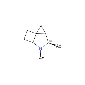 CC(=O)[C@@H]1C2CC23CCC3N1C(C)=O